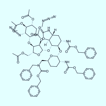 CC(=O)OC[C@H]1O[C@@H](O[C@@H]2[C@H]3OC(=O)N[C@@H]3C[C@H](NC(=O)OCc3ccccc3)[C@H]2O[C@H]2O[C@H](CN(Cc3ccccc3)C(=O)OCc3ccccc3)CC[C@H]2NC(=O)OCc2ccccc2)[C@H](OC(C)=O)[C@@H]1O[C@H]1O[C@@H](CN=[N+]=[N-])[C@@H](OC(C)=O)[C@H](OC(C)=O)[C@H]1N=[N+]=[N-]